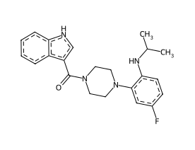 CC(C)Nc1ccc(F)cc1N1CCN(C(=O)c2c[nH]c3ccccc23)CC1